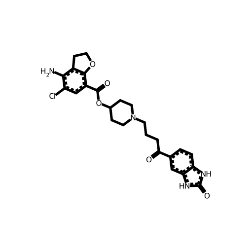 Nc1c(Cl)cc(C(=O)OC2CCN(CCCC(=O)c3ccc4[nH]c(=O)[nH]c4c3)CC2)c2c1CCO2